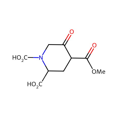 COC(=O)C1CC(C(=O)O)N(C(=O)O)CC1=O